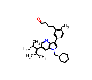 C=C(C)C(=C(C)C)c1cnc2c(-c3ccc(C)c(CCCC=O)c3)cn(CC3CCCCC3)c2c1